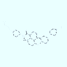 O=C(O)CCCc1ccc(-n2c(=O)c3ccc4oc5ccc(-c6ccc(C(F)(F)F)cc6)cc5c5ccc(c2=O)c3c45)cc1